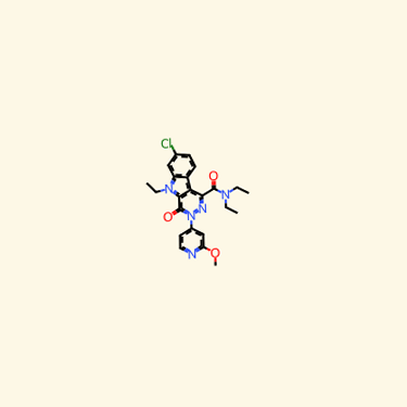 CCN(CC)C(=O)c1nn(-c2ccnc(OC)c2)c(=O)c2c1c1ccc(Cl)cc1n2CC